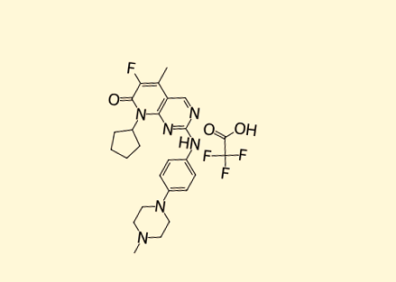 Cc1c(F)c(=O)n(C2CCCC2)c2nc(Nc3ccc(N4CCN(C)CC4)cc3)ncc12.O=C(O)C(F)(F)F